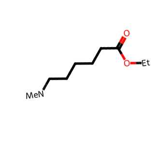 [CH2]NCCCCCC(=O)OCC